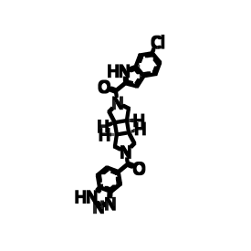 O=C(c1ccc2[nH]nnc2c1)N1C[C@@H]2[C@H](C1)[C@H]1CN(C(=O)c3cc4ccc(Cl)cc4[nH]3)C[C@@H]21